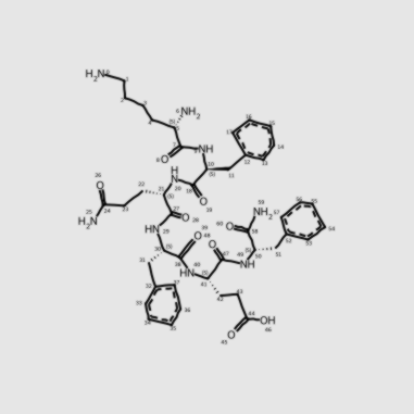 NCCCC[C@H](N)C(=O)N[C@@H](Cc1ccccc1)C(=O)N[C@@H](CCC(N)=O)C(=O)N[C@@H](Cc1ccccc1)C(=O)N[C@@H](CCC(=O)O)C(=O)N[C@@H](Cc1ccccc1)C(N)=O